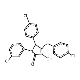 O=C1C(O)=C(Sc2ccc(Cl)cc2)C(c2ccc(Cl)cc2)N1c1cccc(Cl)c1